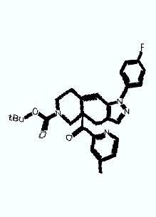 Cc1ccnc(C(=O)[C@]23Cc4cnn(-c5ccc(F)cc5)c4C=C2CCN(C(=O)OC(C)(C)C)C3)c1